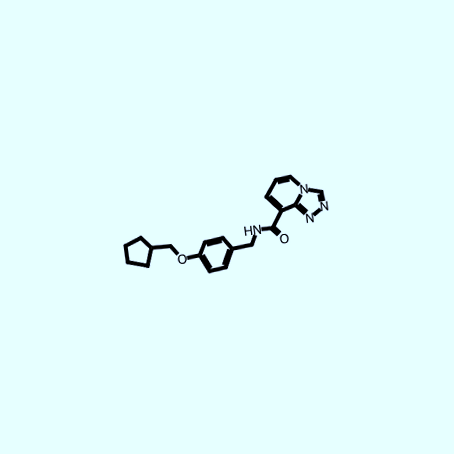 O=C(NCc1ccc(OCC2CCCC2)cc1)c1cccn2cnnc12